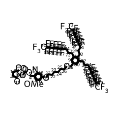 COc1cc(COC(=O)ON2C(=O)CCC2=O)c([N+](=O)[O-])cc1OCCCCCCOCc1cc(CCCC(F)(F)C(F)(F)C(F)(F)C(F)(F)C(F)(F)C(F)(F)F)c(CCCC(F)(F)C(F)(F)C(F)(F)C(F)(F)C(F)(F)C(F)(F)F)c(CCCC(F)(F)C(F)(F)C(F)(F)C(F)(F)C(F)(F)C(F)(F)F)c1